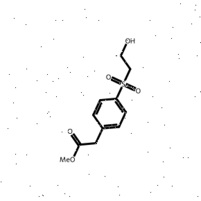 COC(=O)Cc1ccc(S(=O)(=O)CCO)cc1